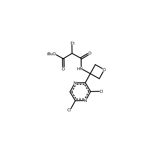 CCC(C(=O)NC1(c2ncc(Cl)nc2Cl)COC1)C(=O)OCC(C)C